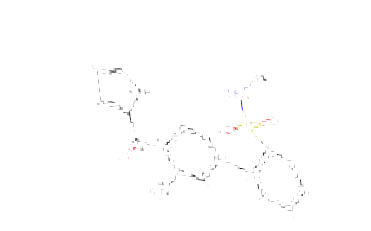 CC(C)(C)NS(=O)(=O)c1ccccc1-c1ccc(C(=O)C2=CC=CB2)c([N+](=O)[O-])c1